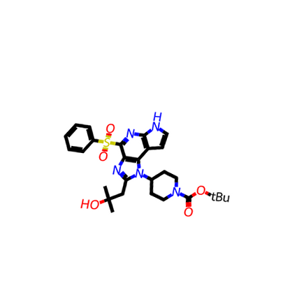 CC(C)(O)Cc1nc2c(S(=O)(=O)c3ccccc3)nc3[nH]ccc3c2n1C1CCN(C(=O)OC(C)(C)C)CC1